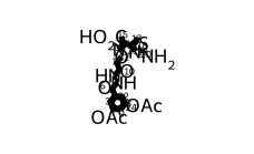 CC(=O)Oc1ccc(C(=O)NNC(=O)CON=C(C(=O)O)c2csc(N)n2)cc1OC(C)=O